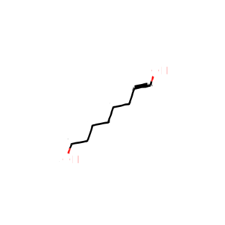 O/C=C/CCCCCCO